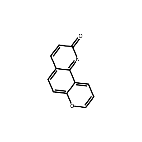 O=c1ccc2ccc3occcc3c2n1